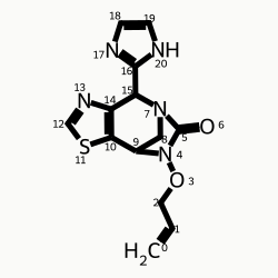 C=CCON1C(=O)N2CC1c1scnc1C2c1ncc[nH]1